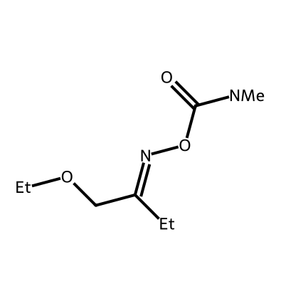 CCOCC(CC)=NOC(=O)NC